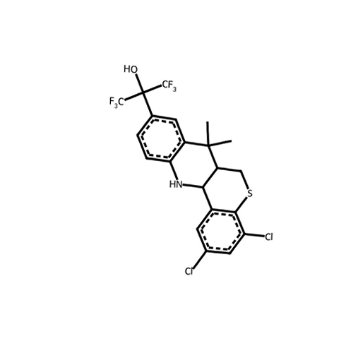 CC1(C)c2cc(C(O)(C(F)(F)F)C(F)(F)F)ccc2NC2c3cc(Cl)cc(Cl)c3SCC21